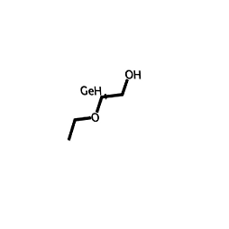 CCOCCO.[GeH4]